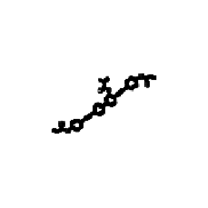 C=CC(=O)Oc1ccc(C#Cc2ccc(-c3ccc(C#Cc4ccc(OC(=O)C=C)cc4)c(OC(=O)C(=C)C)c3)cc2)cc1